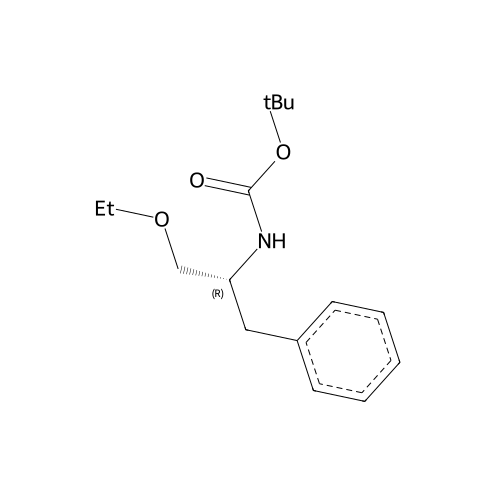 CCOC[C@@H](Cc1ccccc1)NC(=O)OC(C)(C)C